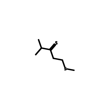 CSCCC(=S)C(C)C